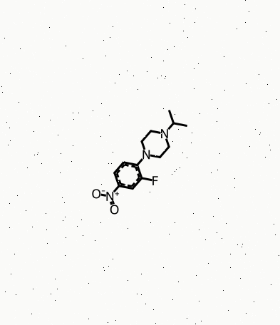 CC(C)N1CCN(c2ccc([N+](=O)[O-])cc2F)CC1